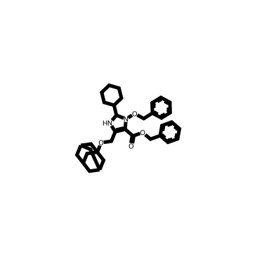 O=C(OCc1ccccc1)C1=C(COC23CC4CC(CC(C4)C2)C3)NC(C2CCCCC2)N1OCc1ccccc1